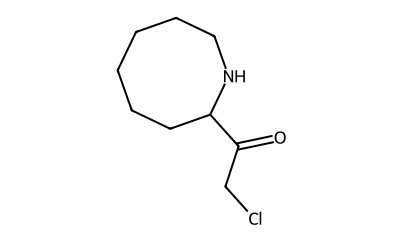 O=C(CCl)C1CCCCCCN1